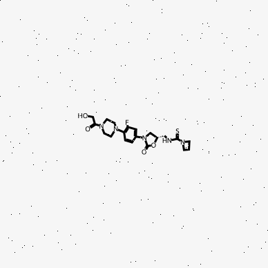 O=C(CO)N1CCN(c2ccc(N3C[C@H](CNC(=S)N4CCC4)OC3=O)cc2F)CC1